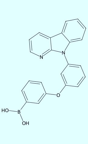 OB(O)c1cccc(Oc2cccc(-n3c4ccccc4c4cccnc43)c2)c1